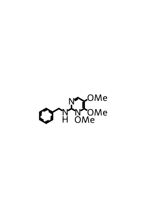 COC1=C(OC)N(OC)C(NCc2ccccc2)N=C1